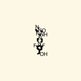 CC(O)c1cc(F)c(N2CCN(C3=NC4=CN(C)CN4C(=O)N3)CC2)c(F)c1